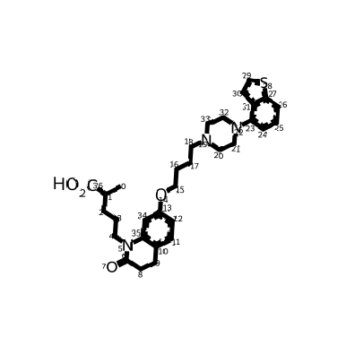 CC(CCCN1C(=O)CCc2ccc(OCCCCN3CCN(c4cccc5sccc45)CC3)cc21)C(=O)O